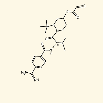 CC(C)[C@H](NC(=O)c1ccc(C(=N)N)cc1)C(=O)N1CCC(OC(=O)C=O)CC1C(C)(C)C